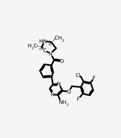 C[C@@H]1CN(C(=O)c2cccc(-c3cnc(N)c(OCc4c(F)ccc(F)c4Cl)n3)c2)C[C@H](C)N1